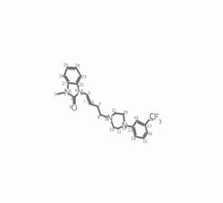 Cn1c(=O)n(/C=C/CCN2CCN(c3cccc(C(F)(F)F)c3)CC2)c2ccccc21